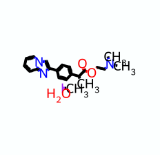 CC(C(=O)OCCN(C)C)c1ccc(-c2cn3ccccc3n2)cc1.CI.O